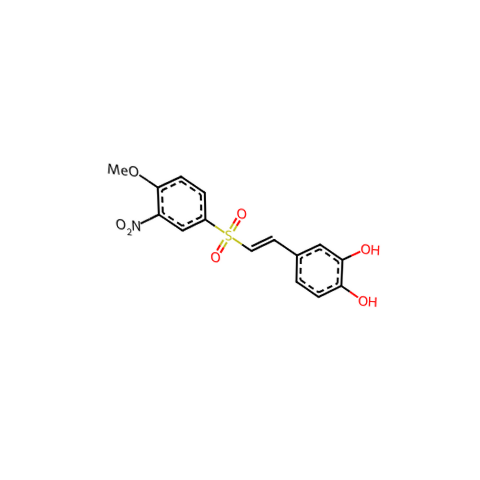 COc1ccc(S(=O)(=O)/C=C/c2ccc(O)c(O)c2)cc1[N+](=O)[O-]